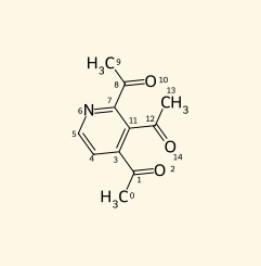 CC(=O)c1ccnc(C(C)=O)c1C(C)=O